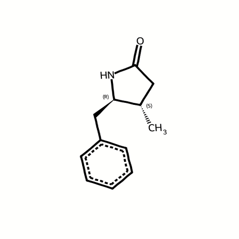 C[C@H]1CC(=O)N[C@@H]1Cc1ccccc1